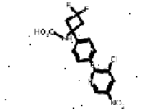 O=C(O)NC1(c2ccc(-c3ncc([N+](=O)[O-])cc3Cl)cc2)CC(F)(F)C1